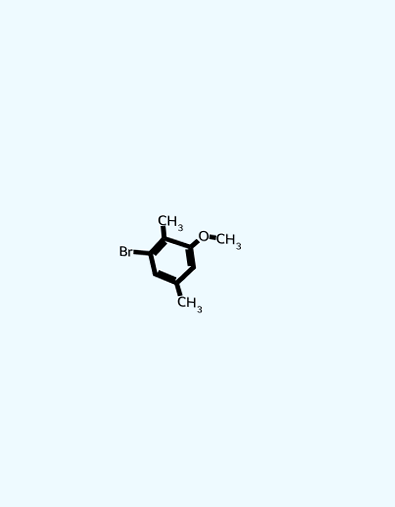 COc1cc(C)cc(Br)c1C